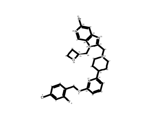 Fc1cc(Cl)ccc1COc1cccc(C2CCN(Cc3nc4cc(Br)ncc4n3C[C@@H]3CCO3)CC2)n1